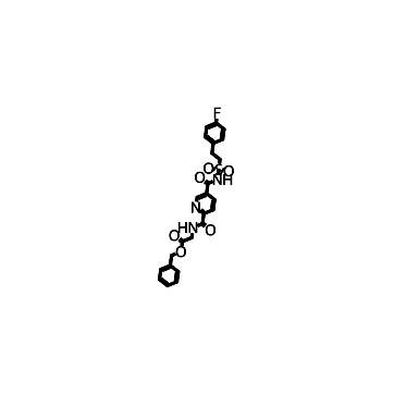 O=C(CNC(=O)c1ccc(C(=O)NS(=O)(=O)CCc2ccc(F)cc2)cn1)OCc1ccccc1